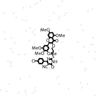 COc1cc(OC)c2c(=O)c(OCCCSc3nc(-c4ccc(Cl)cc4)c(C#N)c(=O)[nH]3)c(-c3cc(OC)c(OC)c(OC)c3)oc2c1